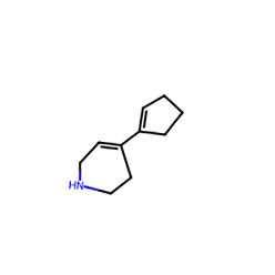 C1=C(C2=CCNCC2)CCC1